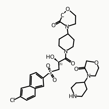 O=C([C@H](O)CS(=O)(=O)c1ccc2cc(Cl)ccc2c1)N1CCC(N2CCOCC2=O)CC1.O=C1COCCN1C1CCNCC1